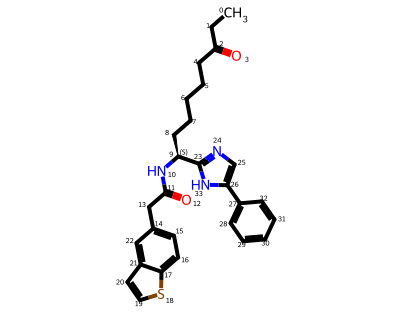 CCC(=O)CCCCC[C@H](NC(=O)Cc1ccc2sccc2c1)c1ncc(-c2ccccc2)[nH]1